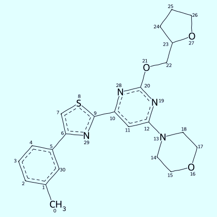 Cc1cccc(-c2csc(-c3cc(N4CCOCC4)nc(OCC4CCCO4)n3)n2)c1